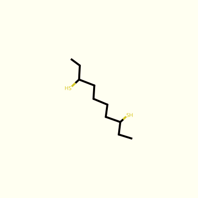 CCC(S)CCCCC(S)CC